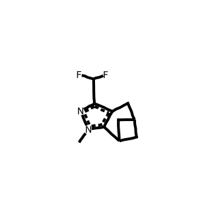 Cn1nc(C(F)F)c2c1C1CC(C2)C1